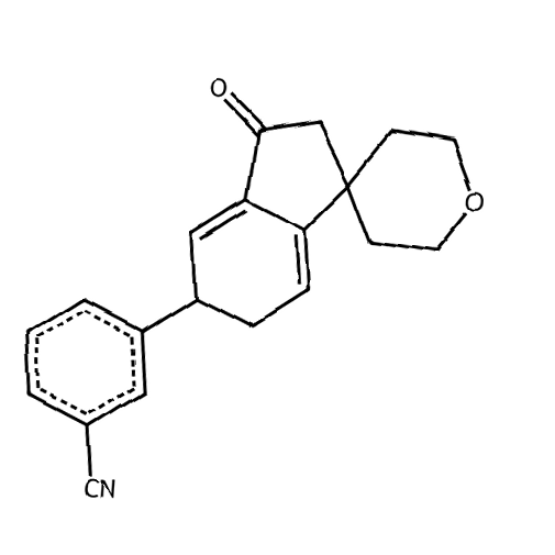 N#Cc1cccc(C2C=C3C(=O)CC4(CCOCC4)C3=CC2)c1